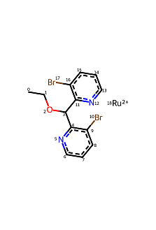 CCOC(c1ncccc1Br)c1ncccc1Br.[Ru+2]